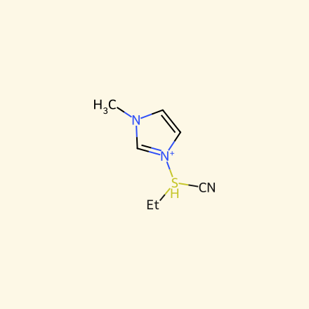 CC[SH](C#N)[n+]1ccn(C)c1